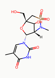 Cc1cn([C@@H]2O[C@]3(CO)CS(=O)(=O)N(C)[C@H]2C3O)c(=O)[nH]c1=O